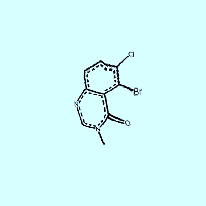 Cn1cnc2ccc(Cl)c(Br)c2c1=O